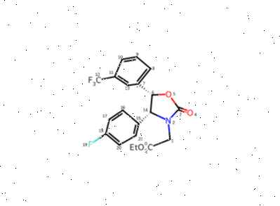 CCOC(=O)CN1C(=O)O[C@@H](c2cccc(C(F)(F)F)c2)[C@H]1c1ccc(F)cc1